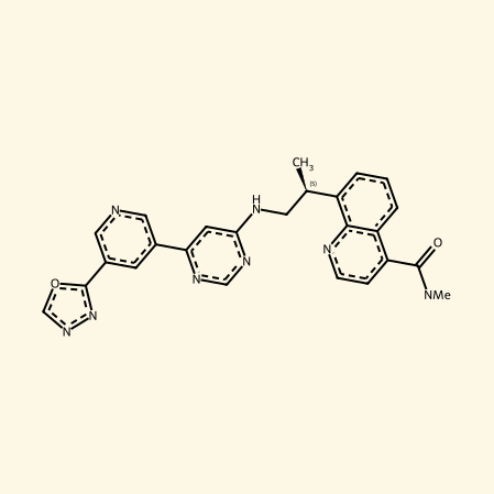 CNC(=O)c1ccnc2c([C@H](C)CNc3cc(-c4cncc(-c5nnco5)c4)ncn3)cccc12